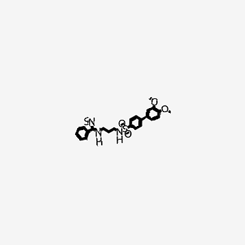 COc1ccc(-c2ccc(S(=O)(=O)NCCCNc3nsc4ccccc34)cc2)cc1OC